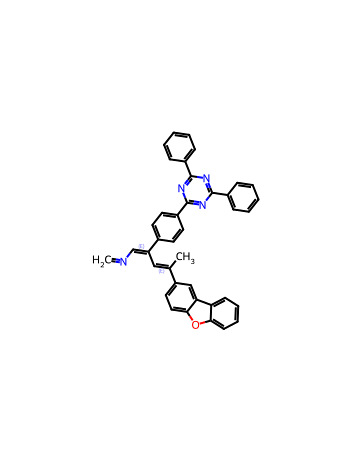 C=N/C=C(\C=C(/C)c1ccc2oc3ccccc3c2c1)c1ccc(-c2nc(-c3ccccc3)nc(-c3ccccc3)n2)cc1